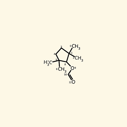 CC1(C)CCC(C)(C)C1OC=O